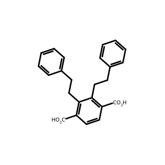 O=C(O)c1ccc(C(=O)O)c(CCc2ccccc2)c1CCc1ccccc1